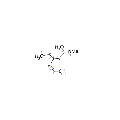 C/C=C\C(=C/C)CC(C)NC